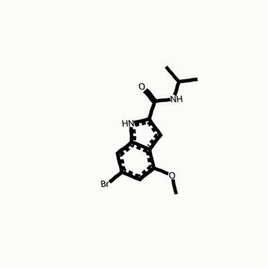 COc1cc(Br)cc2[nH]c(C(=O)NC(C)C)cc12